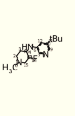 CN1CC[C@@H](Nc2cncc(C(C)(C)C)c2)[C@@H](F)C1